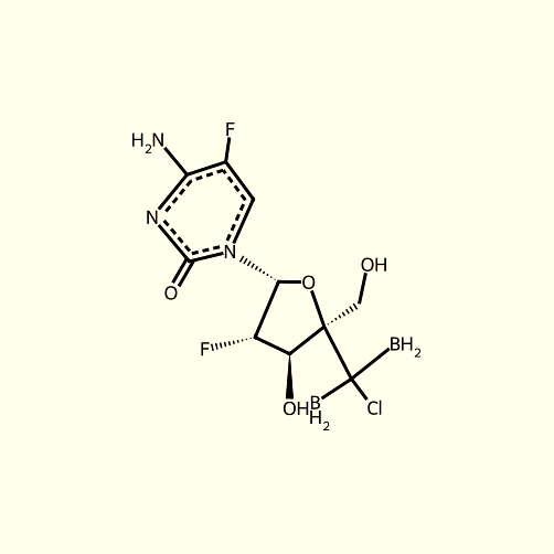 BC(B)(Cl)[C@]1(CO)O[C@@H](n2cc(F)c(N)nc2=O)[C@@H](F)[C@@H]1O